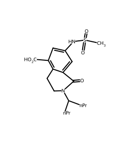 CCCC(CCC)N1CCc2c(C(=O)O)cc(NS(C)(=O)=O)cc2C1=O